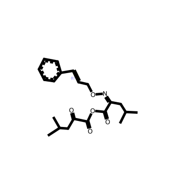 CC(C)CC(=O)C(=O)OC(=O)C(CC(C)C)=NOC/C=C/c1ccccc1